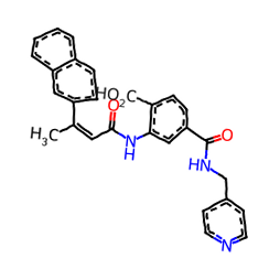 C/C(=C/C(=O)Nc1cc(C(=O)NCc2ccncc2)ccc1C(=O)O)c1ccc2ccccc2c1